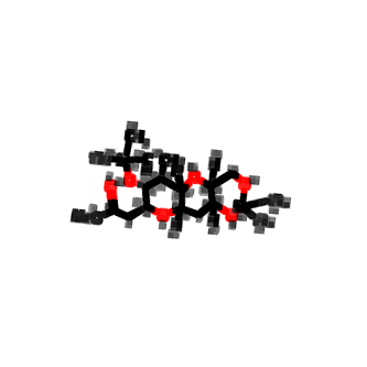 COC(=O)C[C@@H]1O[C@H]2C[C@H]3O[Si](C(C)(C)C)(C(C)(C)C)OC[C@H]3O[C@H]2[C@H](C)[C@H]1O[Si](C)(C)C(C)(C)C